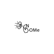 COc1cccn2c(B3OC(C)(C)C(C)(C)O3)cnc12